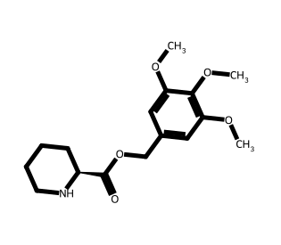 COc1cc(COC(=O)[C@@H]2CCCCN2)cc(OC)c1OC